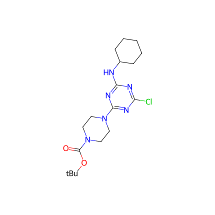 CC(C)(C)OC(=O)N1CCN(c2nc(Cl)nc(NC3CCCCC3)n2)CC1